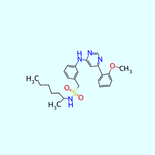 CCCCCC(C)NS(=O)(=O)Cc1cccc(Nc2cc(-c3ccccc3OC)ncn2)c1